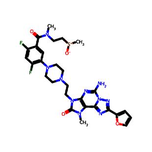 CN(CC[S+](C)[O-])C(=O)c1cc(N2CCN(CCn3c(=O)n(C)c4c3nc(N)n3nc(-c5ccco5)nc43)CC2)c(F)cc1F